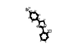 Clc1ccccc1C1=NC(c2ccc(Br)cc2)CO1